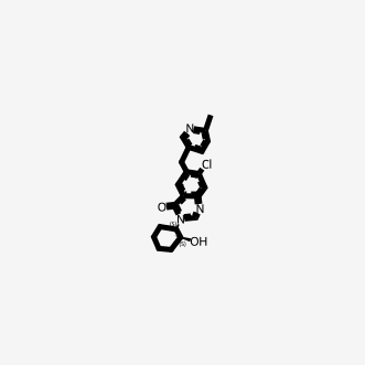 Cc1ccc(Cc2cc3c(=O)n([C@H]4CCCC[C@@H]4O)cnc3cc2Cl)cn1